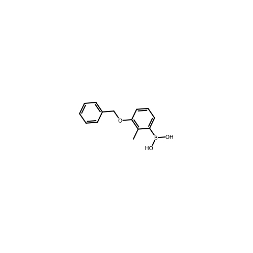 Cc1c(OCc2ccccc2)cccc1B(O)O